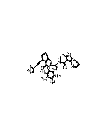 [2H]c1c([2H])c([2H])c(-n2c(C(C)NC(=O)c3c(C)nn4cccnc34)cc3cccc(C#Cc4ccn(C)n4)c3c2=O)c([2H])c1[2H]